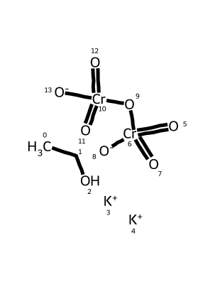 CCO.[K+].[K+].[O]=[Cr](=[O])([O-])[O][Cr](=[O])(=[O])[O-]